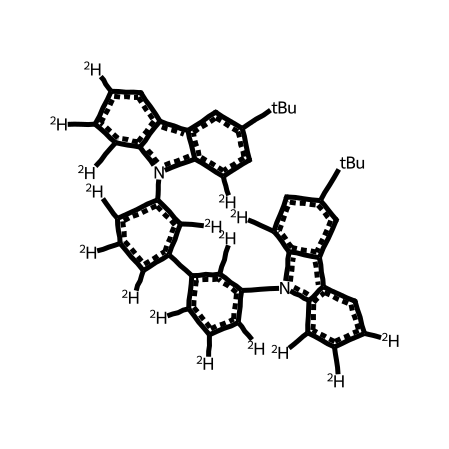 [2H]c1cc2c3cc(C(C)(C)C)cc([2H])c3n(-c3c([2H])c([2H])c([2H])c(-c4c([2H])c([2H])c([2H])c(-n5c6c([2H])cc(C(C)(C)C)cc6c6cc([2H])c([2H])c([2H])c65)c4[2H])c3[2H])c2c([2H])c1[2H]